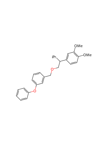 COc1ccc(C(COCc2cccc(Oc3ccccc3)c2)C(C)C)cc1OC